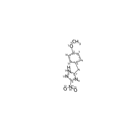 COc1ccc(Cc2nc([N+](=O)[O-])n[nH]2)cc1